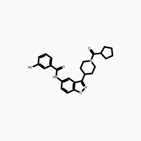 N#Cc1cccc(C(=O)Nc2ccc3onc(C4CCN(C(=O)C5CCCC5)CC4)c3c2)c1